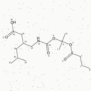 CCCC(=O)OC(C)(C)OC(=O)NCC(CC(=O)O)CC(C)C